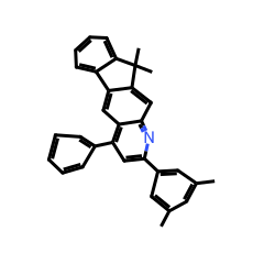 Cc1cc(C)cc(-c2cc(-c3ccccc3)c3cc4c(cc3n2)C(C)(C)c2ccccc2-4)c1